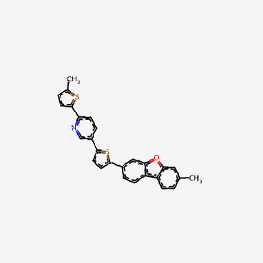 Cc1ccc2c(c1)oc1cc(-c3ccc(-c4ccc(-c5ccc(C)s5)nc4)s3)ccc12